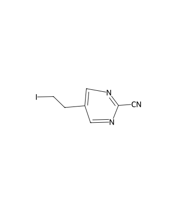 N#Cc1ncc(CCI)cn1